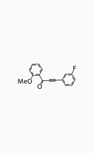 COc1ccccc1C(=O)C#Cc1cccc(F)c1